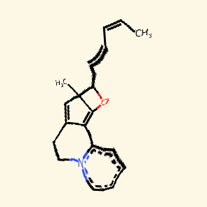 C/C=C\C=CC1OC2=C3C(=CC21C)CC[n+]1ccccc13